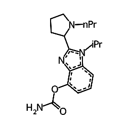 CCCN1CCCC1c1nc2c(OC(N)=O)cccc2n1C(C)C